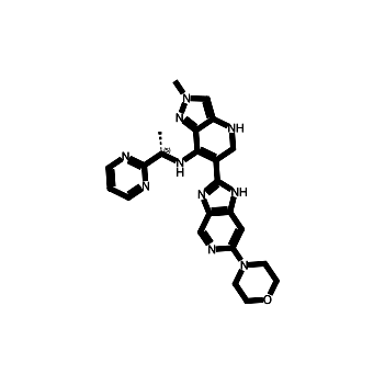 C[C@H](NC1=C(c2nc3cnc(N4CCOCC4)cc3[nH]2)CNc2cn(C)nc21)c1ncccn1